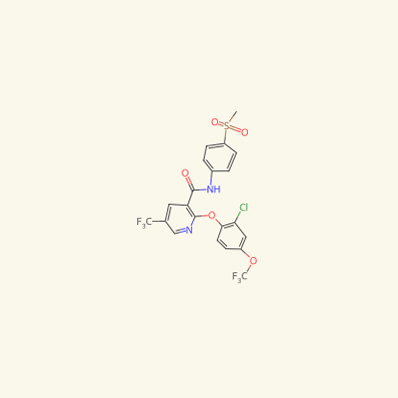 CS(=O)(=O)c1ccc(NC(=O)c2cc(C(F)(F)F)cnc2Oc2ccc(OC(F)(F)F)cc2Cl)cc1